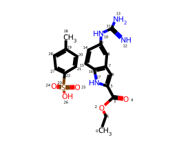 CCOC(=O)c1cc2cc(NC(=N)N)ccc2[nH]1.Cc1ccc(S(=O)(=O)O)cc1